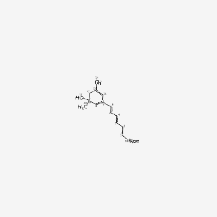 CCCCCCCCCC=CC=CC=CC1=CC(C)(O)CC(O)=C1